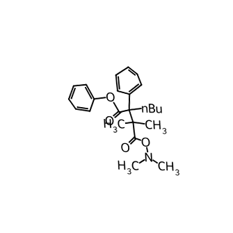 CCCCC(C(=O)Oc1ccccc1)(c1ccccc1)C(C)(C)C(=O)ON(C)C